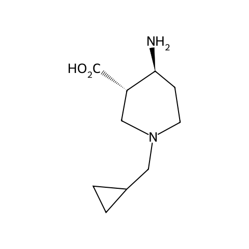 N[C@H]1CCN(CC2CC2)C[C@@H]1C(=O)O